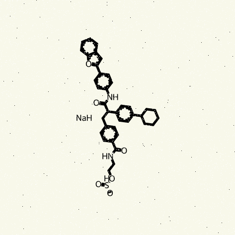 O=C(NCCO[SH](=O)=O)c1ccc(CC(C(=O)Nc2ccc(-c3cc4ccccc4o3)cc2)c2ccc(C3CCCCC3)cc2)cc1.[NaH]